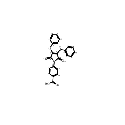 O=C(O)c1ccc(N2C(=O)C(Sc3ccccc3)=C(Sc3ccccc3)C2=O)cc1